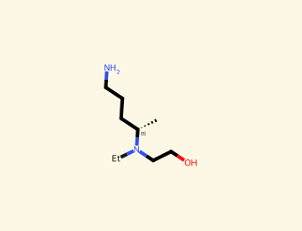 CCN(CCO)[C@@H](C)CCCN